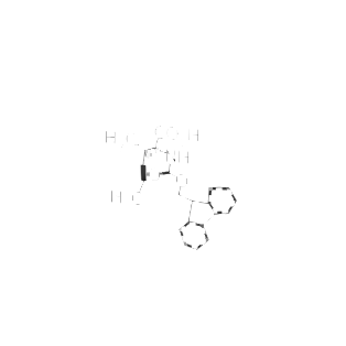 CC#C[C@@H](C)[C@H](NC(=O)OCC1c2ccccc2-c2ccccc21)C(=O)O